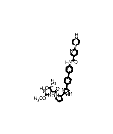 COC(=O)N[C@H](C(=O)N1CCCC1c1nc(-c2ccc(-c3ccc(NC(=O)c4ccc(N5CCNCC5)nc4)cc3)cc2)c[nH]1)C(C)C